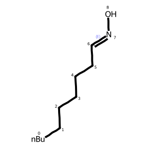 CCCCCCCCC/[C]=N/O